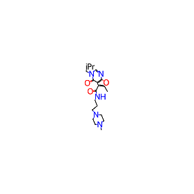 Cc1oc2ncn(CC(C)C)c(=O)c2c1C(=O)NCCCN1CCN(C)CC1